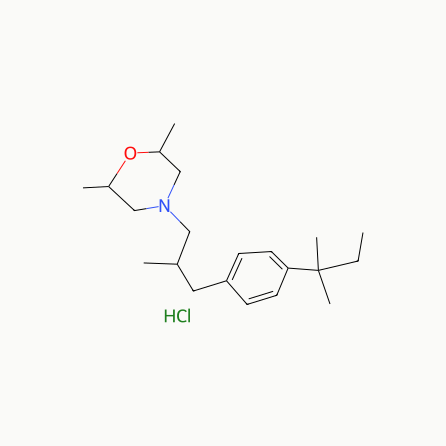 CCC(C)(C)c1ccc(CC(C)CN2CC(C)OC(C)C2)cc1.Cl